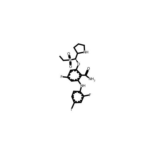 CCS(=O)(=O)[C@H](Oc1cc(F)cc(Nc2ccc(I)cc2F)c1C(N)=O)C1CCCN1